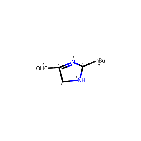 CCCCC1N=C(C=O)CN1